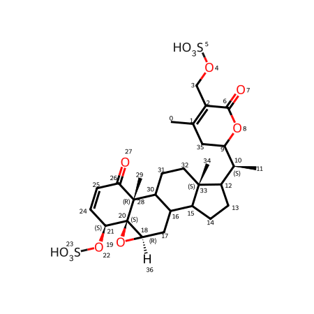 CC1=C(COS(=O)(=O)O)C(=O)OC([C@@H](C)C2CCC3C4C[C@H]5O[C@]56[C@@H](OS(=O)(=O)O)C=CC(=O)[C@]6(C)C4CC[C@@]32C)C1